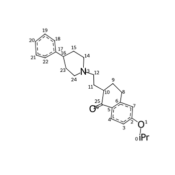 CC(C)Oc1ccc2c(c1)CCC(CCN1CCC(c3ccccc3)CC1)C2=O